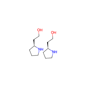 OCC[C@@H]1CCCN1.OCC[C@@H]1CCCN1